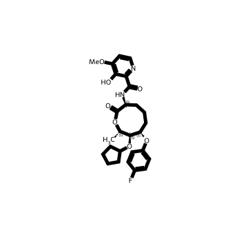 COc1ccnc(C(=O)N[C@H]2CCC[C@H](Oc3ccc(F)cc3)[C@@H](OC3CCCC3)[C@H](C)OC2=O)c1O